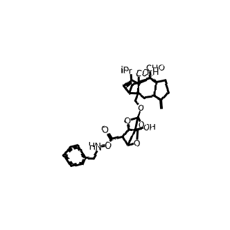 CC(C)C1=CC2CC3(C=O)C4CCC(C)C4CC2(COC24OC5OC(C(C(=O)ONCc6ccccc6)C5O2)C4O)C13C(=O)O